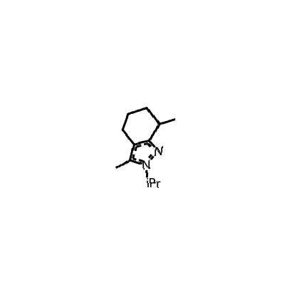 Cc1c2c(nn1C(C)C)C(C)CCC2